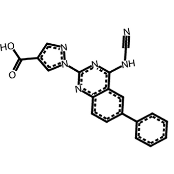 N#CNc1nc(-n2cc(C(=O)O)cn2)nc2ccc(-c3ccccc3)cc12